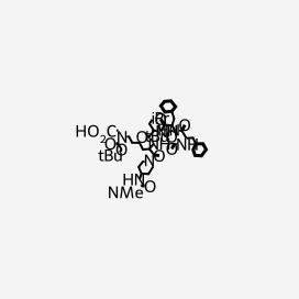 CNC(=O)NC1CCN(C(=O)C(CCCCN(CC(=O)O)C(=O)OC(C)(C)C)NC(=O)C(CC(C)C)NC(=O)C(Cc2ccccc2)NC(=O)C(Cc2ccccc2)NC(=O)OC(C)(C)C)CC1